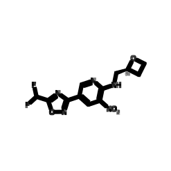 O=[N+]([O-])c1cc(-c2noc(C(F)F)n2)cnc1NC[C@@H]1CCO1